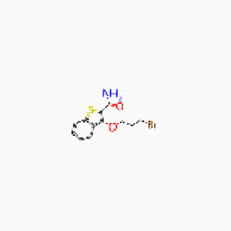 NC(=O)c1sc2ccccc2c1OCCCBr